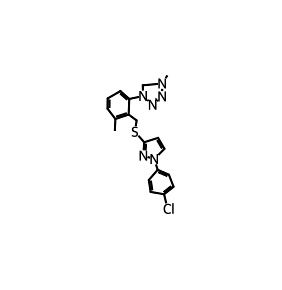 Cc1cccc(N2CN(C)N=N2)c1CSc1ccn(-c2ccc(Cl)cc2)n1